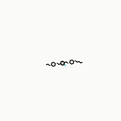 CCCCC[C@H]1CC[C@H](CCc2ccc(CC[C@H]3CC[C@H](CCC)CC3)cc2F)CC1